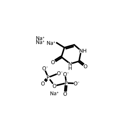 Cc1c[nH]c(=O)[nH]c1=O.O=P([O-])([O-])OP(=O)([O-])[O-].[Na+].[Na+].[Na+].[Na+]